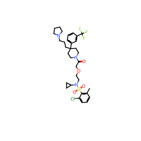 Cc1cccc(Cl)c1S(=O)(=O)N(CCOCC(=O)N1CCC(CCCN2CCCC2)(c2cccc(C(F)(F)F)c2)CC1)C1CC1